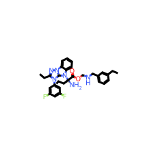 CCC[C@@](N)(C(=O)OCNCc1cccc(CC)c1)N1c2ccccc2N2N=C(CC)N(c3cc(F)cc(F)c3)C21